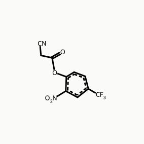 N#CCC(=O)Oc1ccc(C(F)(F)F)cc1[N+](=O)[O-]